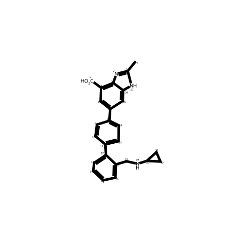 Cc1nc2c(C(=O)O)cc(-c3ccc(-c4ccccc4CNC4CC4)cc3)cc2[nH]1